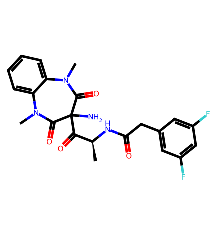 C[C@H](NC(=O)Cc1cc(F)cc(F)c1)C(=O)C1(N)C(=O)N(C)c2ccccc2N(C)C1=O